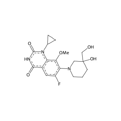 COc1c(N2CCCC(O)(CO)C2)c(F)cc2c(=O)[nH]c(=O)n(C3CC3)c12